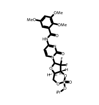 COc1cc(OC)c(OC)c(C(=O)Nc2ccn(C3O[C@@H]4COP(=O)(OC(C)C)O[C@H]4C3(F)F)c(=O)n2)c1